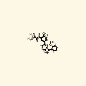 COc1ccccc1-c1nnc2n1N=C(c1ccc(C)c(NC(=O)[C@H](C)N)c1)CS2